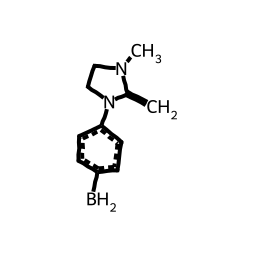 Bc1ccc(N2CCN(C)C2=C)cc1